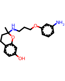 CC1(NCCCOc2cccc(N)c2)CCc2ccc(O)cc2O1